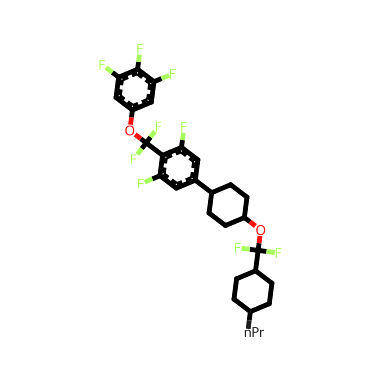 CCCC1CCC(C(F)(F)OC2CCC(c3cc(F)c(C(F)(F)Oc4cc(F)c(F)c(F)c4)c(F)c3)CC2)CC1